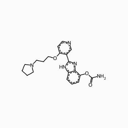 NC(=O)Oc1cccc2[nH]c(-c3cnccc3OCCCN3CCCC3)nc12